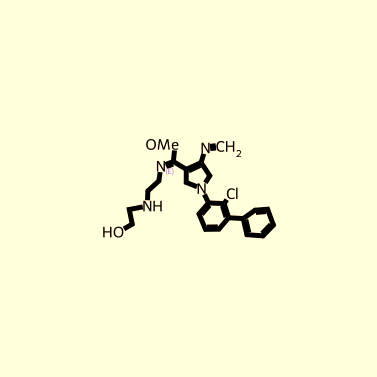 C=NC1=C(/C(=N\CCNCCO)OC)CN(c2cccc(-c3ccccc3)c2Cl)C1